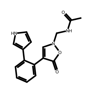 CC(=O)NCn1cc(-c2ccccc2-c2cc[nH]c2)c(=O)o1